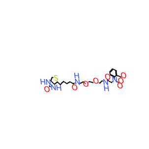 O=C(CCCCC1SCC2NC(=O)NC21)NCCOCCOCCNC(=O)Cn1c(=O)oc(=O)c2ccccc21